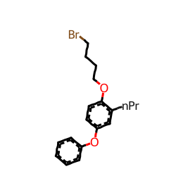 CCCc1cc(Oc2ccccc2)ccc1OCCCCBr